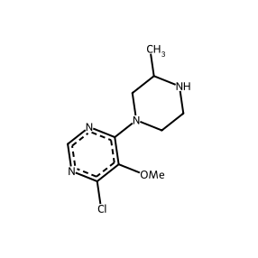 COc1c(Cl)ncnc1N1CCNC(C)C1